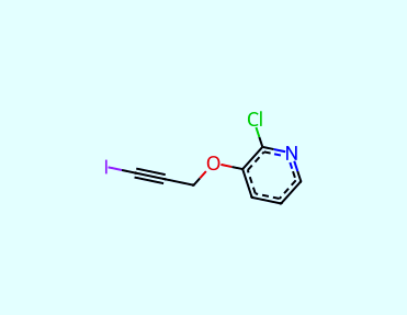 Clc1ncccc1OCC#CI